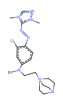 CCN(CC[N+]12CCN(CC1)CC2)c1ccc(/N=N/c2n(C)cn[n+]2C)c(Cl)c1